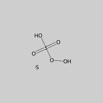 O=S(=O)(O)OO.[S]